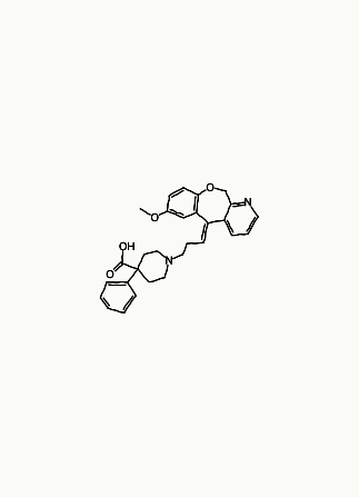 COc1ccc2c(c1)C(=CCCN1CCC(C(=O)O)(c3ccccc3)CC1)c1cccnc1CO2